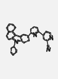 N#Cc1cc(-c2cccc(-c3ccc4c(c3)c3c5ccccc5ccc3n4-c3ccccc3)n2)ccn1